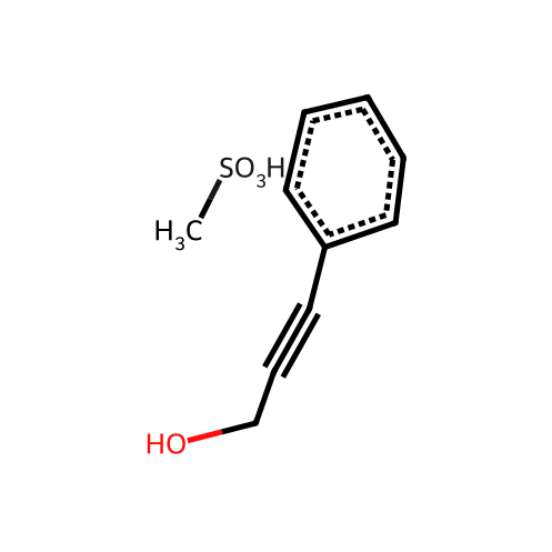 CS(=O)(=O)O.OCC#Cc1ccccc1